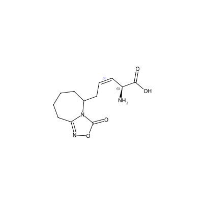 N[C@@H](/C=C\CC1CCCCc2noc(=O)n21)C(=O)O